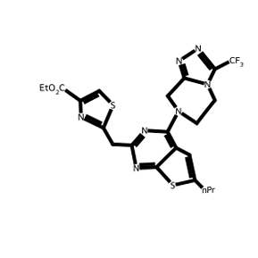 CCCc1cc2c(N3CCn4c(nnc4C(F)(F)F)C3)nc(Cc3nc(C(=O)OCC)cs3)nc2s1